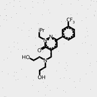 CC(C)Cn1nc(-c2cccc(C(F)(F)F)c2)cc(CN(CCO)CCO)c1=O